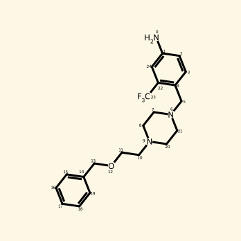 Nc1ccc(CN2CCN(CCOCc3ccccc3)CC2)c(C(F)(F)F)c1